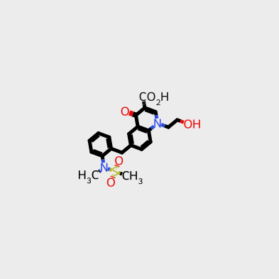 CN(c1ccccc1Cc1ccc2c(c1)c(=O)c(C(=O)O)cn2CCO)S(C)(=O)=O